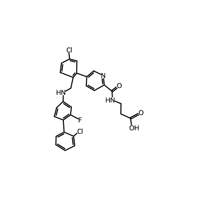 O=C(O)CCNC(=O)c1ccc(-c2cc(Cl)ccc2CNc2ccc(-c3ccccc3Cl)c(F)c2)cn1